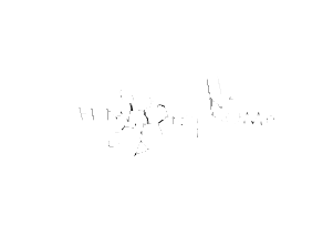 COCC(N)C1CN(c2cnc3c(=O)n(N)c(=O)n(C4CC4)c3c2C)CC1(C)C